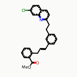 COC(=O)c1ccccc1CC=Cc1cccc(CCc2ccc3ccc(Cl)cc3n2)c1